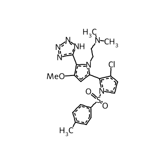 COc1cc(-c2c(Cl)ccn2S(=O)(=O)c2ccc(C)cc2)n(CCN(C)C)c1-c1nnn[nH]1